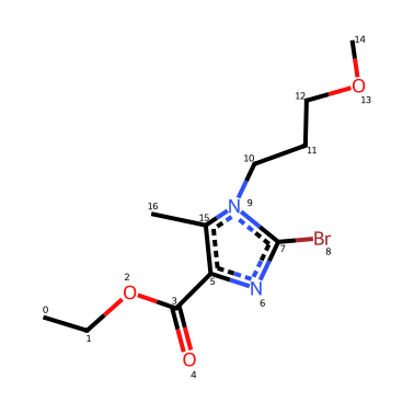 CCOC(=O)c1nc(Br)n(CCCOC)c1C